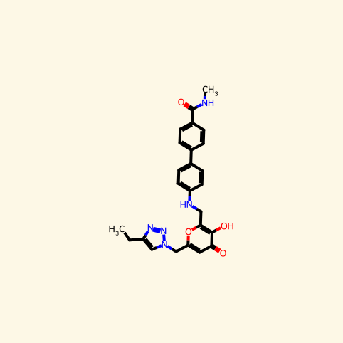 CCc1cn(Cc2cc(=O)c(O)c(CNc3ccc(-c4ccc(C(=O)NC)cc4)cc3)o2)nn1